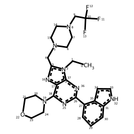 CCn1c(CN2CCN(CC(F)(F)F)CC2)nc2c(N3CCOCC3)nc(-c3cccc4[nH]ccc34)nc21